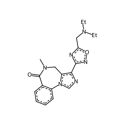 CCN(CC)Cc1nc(-c2ncn3c2CN(C)C(=O)c2ccccc2-3)no1